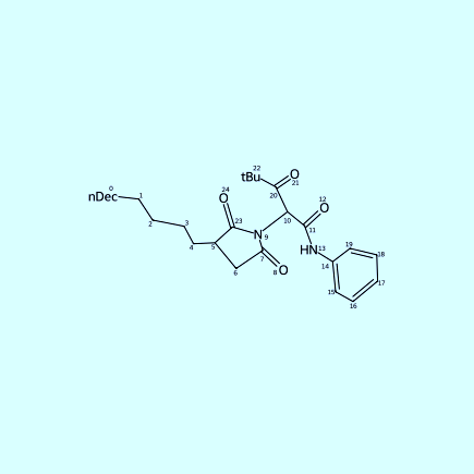 CCCCCCCCCCCCCCC1CC(=O)N(C(C(=O)Nc2ccccc2)C(=O)C(C)(C)C)C1=O